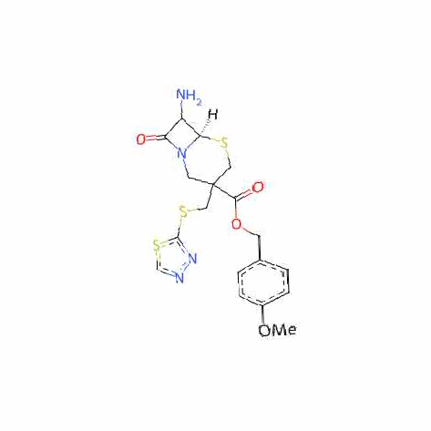 COc1ccc(COC(=O)C2(CSc3nncs3)CS[C@@H]3C(N)C(=O)N3C2)cc1